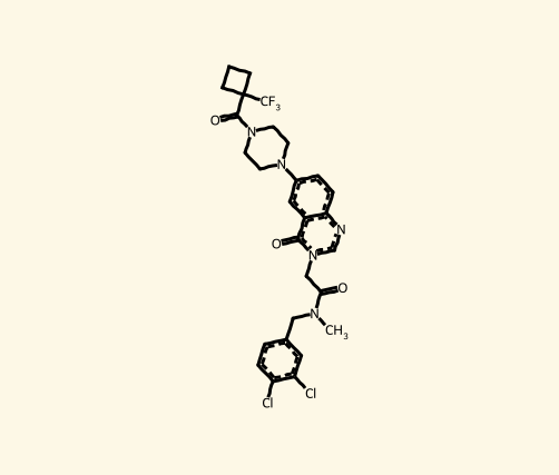 CN(Cc1ccc(Cl)c(Cl)c1)C(=O)Cn1cnc2ccc(N3CCN(C(=O)C4(C(F)(F)F)CCC4)CC3)cc2c1=O